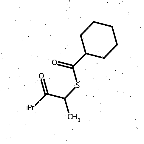 CC(C)C(=O)C(C)SC(=O)C1CCCCC1